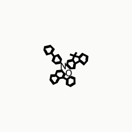 CC1(C)c2ccccc2-c2ccc(N(c3ccc(-c4ccccc4)cc3)c3cc4ccccc4c4c3oc3ccccc34)cc21